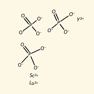 O=P([O-])([O-])[O-].O=P([O-])([O-])[O-].O=P([O-])([O-])[O-].[Lu+3].[Sc+3].[Y+3]